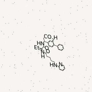 CC[C@H](NC(=O)CCCCNc1ccccn1)C(=O)NC(CC(=O)O)c1ccc(-c2ccccc2)cc1